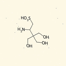 NC(CS(=O)(=O)O)C(CO)(CO)CO